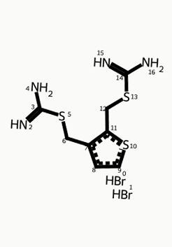 Br.Br.N=C(N)SCc1ccsc1CSC(=N)N